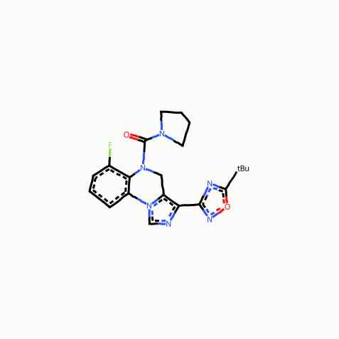 CC(C)(C)c1nc(-c2ncn3c2CN(C(=O)N2CCCC2)c2c(F)cccc2-3)no1